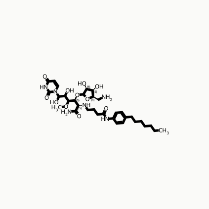 CCCCCCCc1ccc(NC(=O)CCCN[C@H](C(N)=O)[C@H](OC2O[C@H](CN)[C@@H](O)[C@H]2O)C(OC)C(O)C(O)n2ccc(=O)[nH]c2=O)cc1